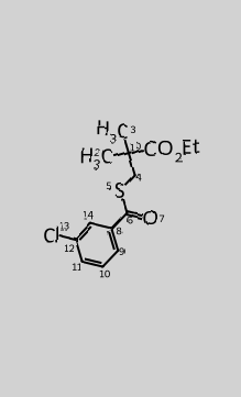 CCOC(=O)C(C)(C)CSC(=O)c1cccc(Cl)c1